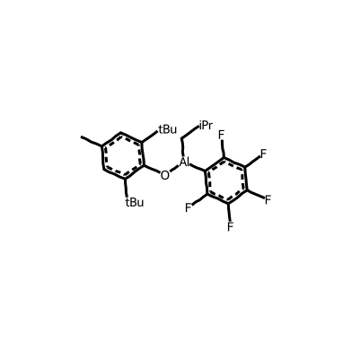 Cc1cc(C(C)(C)C)c([O][Al]([CH2]C(C)C)[c]2c(F)c(F)c(F)c(F)c2F)c(C(C)(C)C)c1